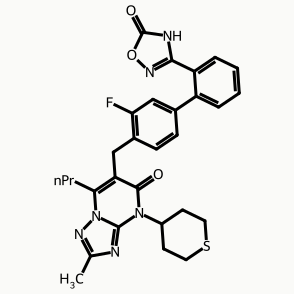 CCCc1c(Cc2ccc(-c3ccccc3-c3noc(=O)[nH]3)cc2F)c(=O)n(C2CCSCC2)c2nc(C)nn12